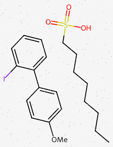 CCCCCCCCS(=O)(=O)O.COc1ccc(-c2ccccc2I)cc1